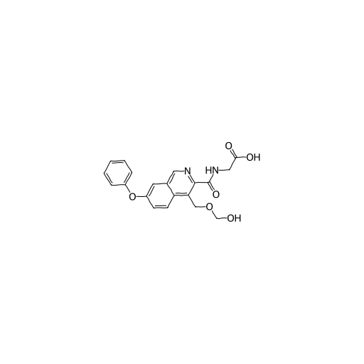 O=C(O)CNC(=O)c1ncc2cc(Oc3ccccc3)ccc2c1COCO